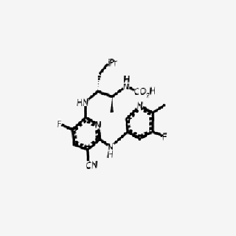 Cc1ncc(Nc2nc(N[C@H](CC(C)C)[C@H](C)NC(=O)O)c(F)cc2C#N)cc1F